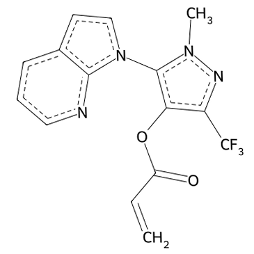 C=CC(=O)Oc1c(C(F)(F)F)nn(C)c1-n1ccc2cccnc21